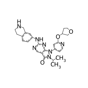 CC(C)n1c(=O)c2cnc(Nc3ccc4c(c3)CNCC4)nc2n1-c1ccnc(OC2CCOC2)c1